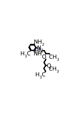 CCCC(CCOC(CC)CN/N=C1\C(=N)C(C)=CC=C1N)OC